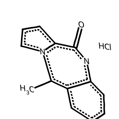 Cc1c2ccccc2nc(=O)c2cccn12.Cl